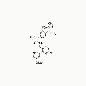 COc1cncc(-c2nc(C(F)(F)F)ccc2CNC(=O)C(C)c2ccc(C(N)S(C)(=O)=O)c(F)c2)c1